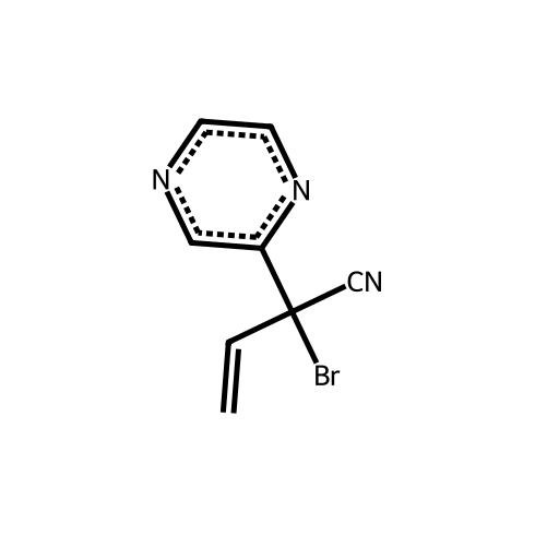 C=CC(Br)(C#N)c1cnccn1